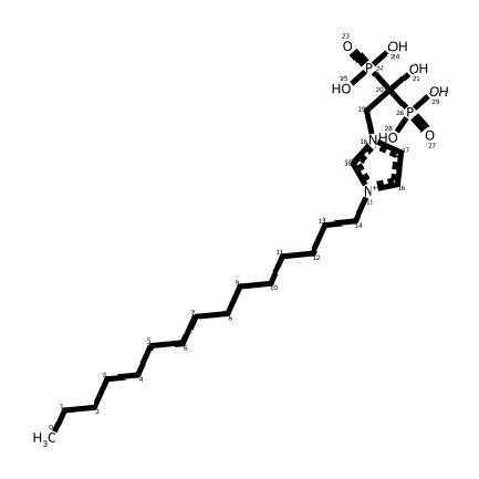 CCCCCCCCCCCCCCC[n+]1ccn(CC(O)(P(=O)(O)O)P(=O)(O)O)c1